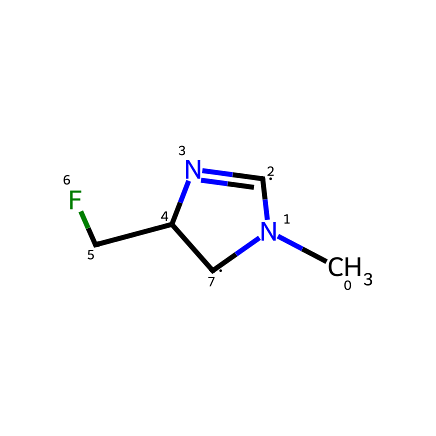 CN1[C]=NC(CF)[CH]1